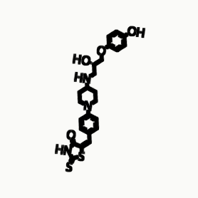 O=C1NC(=S)S/C1=C/c1ccc(N2CCC(NC[C@H](O)COc3ccc(O)cc3)CC2)cc1